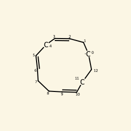 [CH]1CC=CCC=CCCC=CCC1